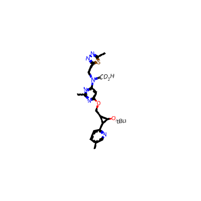 Cc1ccc(C2C(COc3cc(N(Cc4nnc(C)s4)C(=O)O)nc(C)n3)C2OC(C)(C)C)nc1